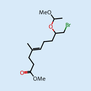 COC(=O)CCC(C)=CCCC(CBr)OC(C)OC